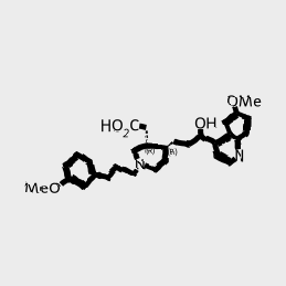 COc1cccc(CCCN2CC[C@@H](CCC(O)c3ccnc4ccc(OC)cc34)[C@@H](CC(=O)O)C2)c1